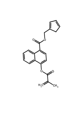 C=C(C)C(=O)Oc1ccc(C(=O)OCC2=CC=CC2)c2ccccc12